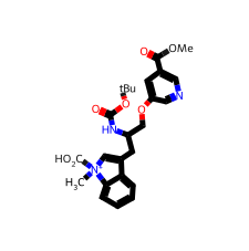 COC(=O)c1cncc(OCC(CC2=C[N+](C)(C(=O)O)c3ccccc32)NC(=O)OC(C)(C)C)c1